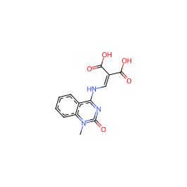 Cn1c(=O)nc(NC=C(C(=O)O)C(=O)O)c2ccccc21